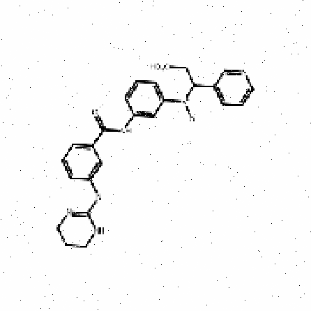 O=C(O)CC(c1cccnc1)[S+]([O-])c1cccc(NC(=O)c2cccc(NC3=NCCCN3)c2)c1